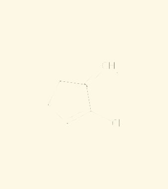 C=C1CCC=C1Cl